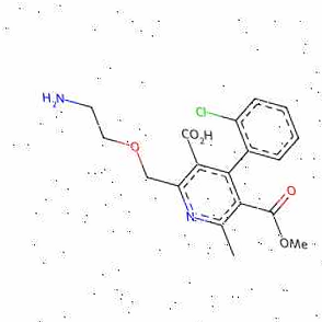 COC(=O)c1c(C)nc(COCCN)c(C(=O)O)c1-c1ccccc1Cl